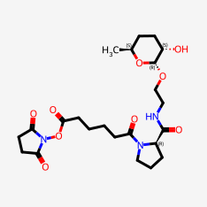 C[C@H]1CC[C@H](O)[C@H](OCCNC(=O)[C@H]2CCCN2C(=O)CCCCC(=O)ON2C(=O)CCC2=O)O1